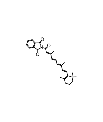 CC1=C(/C=C/C(C)=C/C=C/C(C)=C/C(=O)N2C(=O)c3ccccc3C2=O)C(C)(C)CCC1